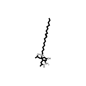 CCCCCCCCC=CCCCCCCCCNC(CC(C)O)(CC(C)O)C(CN)CC(C)O